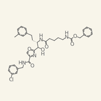 Cc1cccc(CC[C@H](NC(=O)CCCCNC(=O)OCc2ccccc2)C(O)c2nc(C(=O)NCc3cccc(Cl)c3)co2)c1